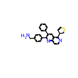 NCc1ccc(-c2nc3ccnc(C4C=CSC4)c3cc2-c2ccccc2)cc1